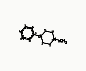 CN1CCN(c2c[c]cnc2)CC1